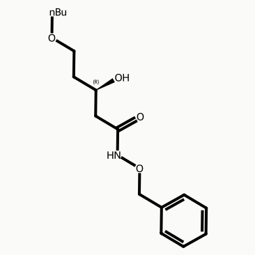 CCCCOCC[C@@H](O)CC(=O)NOCc1ccccc1